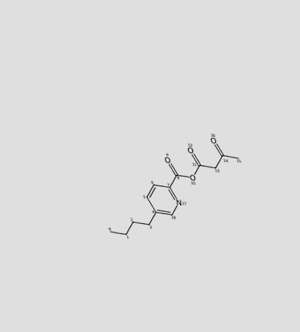 CCCCc1ccc(C(=O)OC(=O)CC(C)=O)nc1